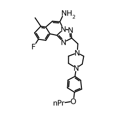 CCCOc1ccc(N2CCN(Cc3nc4c5cc(F)cc(C)c5cc(N)n4n3)CC2)cc1